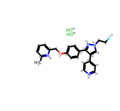 Cc1cccc(COc2ccc(-c3nn(CCF)cc3-c3ccncc3)cc2)n1.Cl.Cl